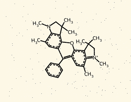 Cc1cc2c(c3c1N(C)CC3(C)C)Oc1c3c(c(C)cc1=C2c1ccccc1)=[N+](C)CC3(C)C